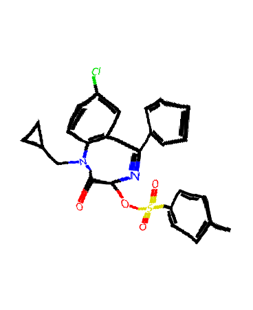 Cc1ccc(S(=O)(=O)OC2N=C(c3ccccc3)c3cc(Cl)ccc3N(CC3CC3)C2=O)cc1